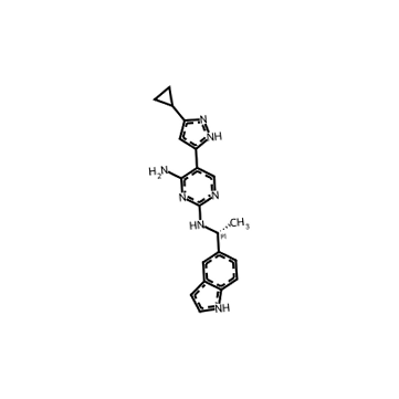 C[C@@H](Nc1ncc(-c2cc(C3CC3)n[nH]2)c(N)n1)c1ccc2[nH]ccc2c1